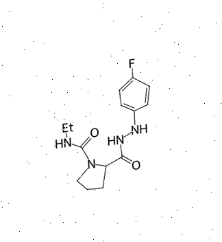 CCNC(=O)N1CCCC1C(=O)NNc1ccc(F)cc1